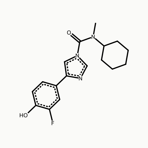 CN(C(=O)n1cnc(-c2ccc(O)c(F)c2)c1)C1CCCCC1